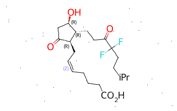 CC(C)CCC(F)(F)C(=O)CC[C@H]1[C@H](O)CC(=O)[C@@H]1C/C=C\CCCC(=O)O